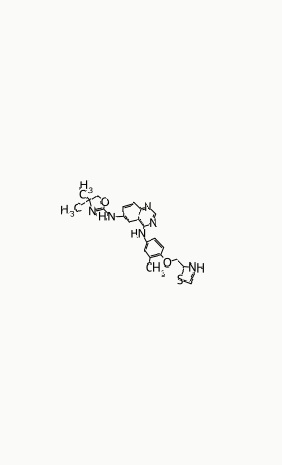 Cc1cc(Nc2ncnc3ccc(NC4=NC(C)(C)CO4)cc23)ccc1OCC1NC=CS1